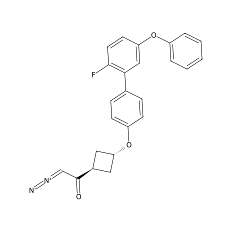 [N-]=[N+]=CC(=O)[C@H]1C[C@H](Oc2ccc(-c3cc(Oc4ccccc4)ccc3F)cc2)C1